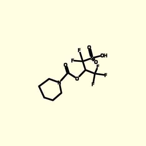 O=C(OC(C(F)(F)F)C(F)(F)S(=O)(=O)O)N1CCCCC1